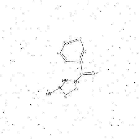 O=C(c1ccccc1)N1CCC(S)N1